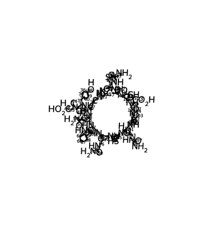 C[C@H](O)[C@H]1NC(=O)[C@H](NC(=O)[C@@H](CS)NC(=O)CN)Cc2cn(nn2)CCC[C@@H](C(=O)N[C@@H](Cc2ccc(O)cc2)C(=O)N(C)CC(=O)O)NC(=O)[C@H](CCC(N)=O)NC(=O)[C@@H](Cc2c[nH]c3ccccc23)NC(=O)[C@H](CCCNC(N)=O)NC(=O)C(CS)NC(=O)[C@H](CCCNC(N)=O)NC(=O)[C@H]2CCCN2C(=O)[C@H](CC(=O)O)NC1=O